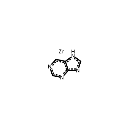 [Zn].c1ncc2[nH]cnc2n1